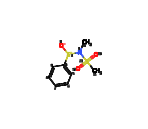 CN([S+]([O-])c1ccccc1)S(C)(=O)=O